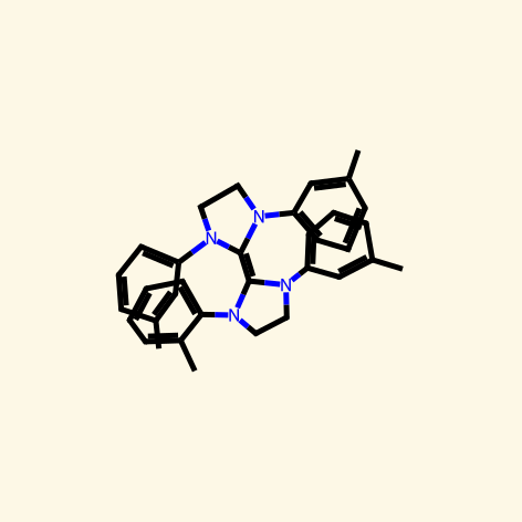 Cc1cccc(N2CCN(c3cccc(C)c3)C2=C2N(c3cccc(C)c3)CCN2c2ccccc2C)c1